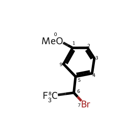 COc1cccc(C(Br)C(F)(F)F)c1